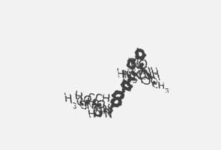 COC(=O)N[C@@H](C)C(=O)N1[C@@H](c2ccccc2)CC[C@H]1c1ncc(-c2ccc(-c3ccc4cc(C5CN=C([C@@H]6CCCN6C(=O)[C@@H](NC(=O)OC)C(C)C)N5)ccc4c3)cc2)[nH]1